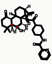 C=C1C(=O)[C@]23[C@H](OC(=O)C4CCC(NC(=O)c5ccccn5)CC4)[C@H]1CC[C@H]2[C@@]12CO[C@@]3(O)[C@@H](O)[C@@H]1C(C)(C)CCC2=O